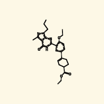 CCCc1nc(C)c2c(=O)[nH]c(-c3cc(C4=CCC(C(=O)OCC)CC4)ccc3OCC)nn12